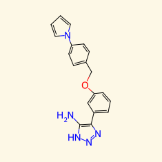 Nc1[nH]nnc1-c1cccc(OCc2ccc(-n3cccc3)cc2)c1